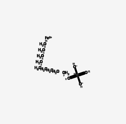 O.O.O.O.O.O.O.O.O.O=S(=O)([O-])[O-].[Fe+2]